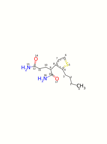 CCCCc1sccc1C(CCC(N)=O)C(N)=O